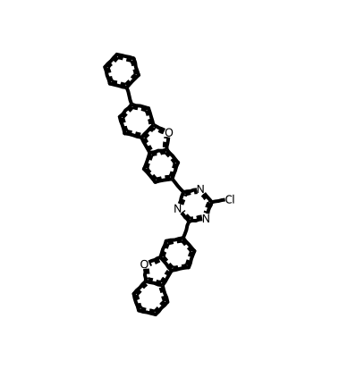 Clc1nc(-c2ccc3c(c2)oc2ccccc23)nc(-c2ccc3c(c2)oc2cc(-c4ccccc4)ccc23)n1